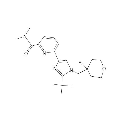 CN(C)C(=O)c1cccc(-c2cn(CC3(F)CCOCC3)c(C(C)(C)C)n2)n1